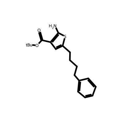 CC(C)(C)OC(=O)c1cc(CCCCc2ccccc2)sc1N